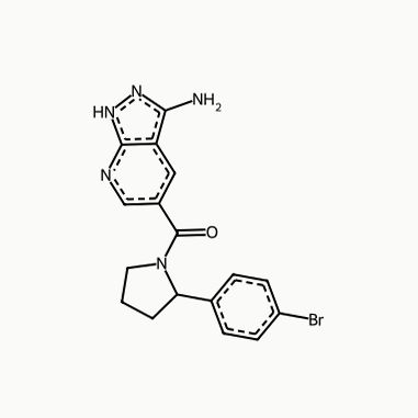 Nc1n[nH]c2ncc(C(=O)N3CCCC3c3ccc(Br)cc3)cc12